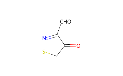 O=CC1=NSCC1=O